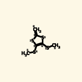 C=C1SC(SC)=C(SC)S1